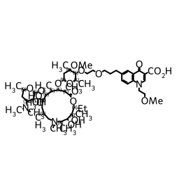 CC[C@H]1OC(=O)[C@H](C)[C@@H](O[C@H]2C[C@@](C)(OC)[C@@H](OCCOCCCc3ccc4c(c3)c(=O)c(C(=O)O)cn4CCOC)[C@H](C)O2)[C@H](C)[C@@H](O[C@@H]2O[C@H](C)C[C@H](N(C)C)[C@H]2O)[C@](C)(O)C[C@@H](C)CN(C)[C@H](C)C(O)[C@]1(C)O